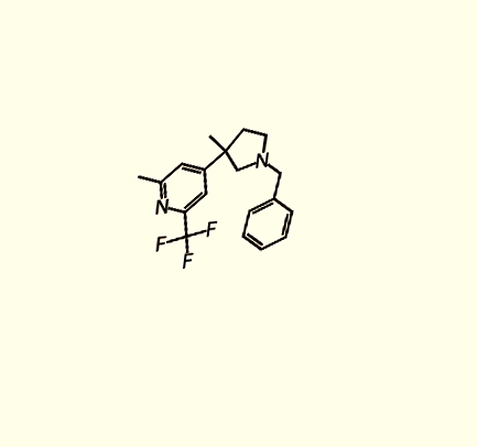 Cc1cc(C2(C)CCN(Cc3ccccc3)C2)cc(C(F)(F)F)n1